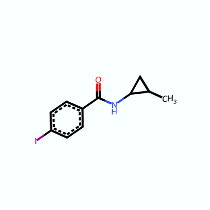 CC1CC1NC(=O)c1ccc(I)cc1